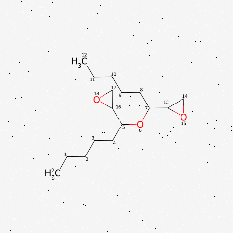 CCCCCC(OC(CCCCC)C1CO1)C1CO1